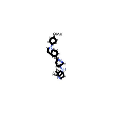 COc1ccc(-n2ccc3cc(-c4ccc(N[C@H]5C6CCN(CC6)[C@@H]5C)cn4)ccc32)cc1